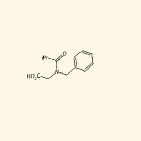 CC(C)C(=O)N(CC(=O)O)Cc1ccccc1